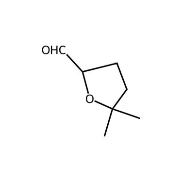 CC1(C)CCC(C=O)O1